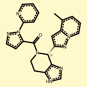 Cc1cccn2nc([C@@H]3c4nc[nH]c4CCN3C(=O)c3ccnn3-c3ccccn3)cc12